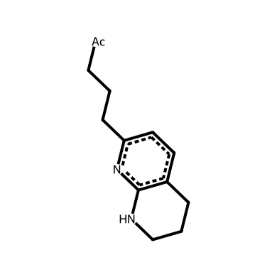 CC(=O)CCCc1ccc2c(n1)NCCC2